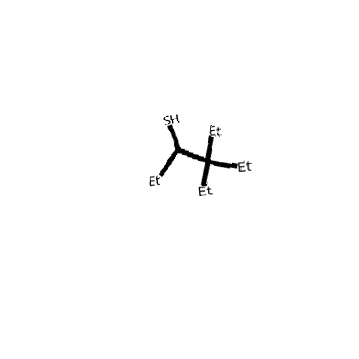 CCC(S)C(CC)(CC)CC